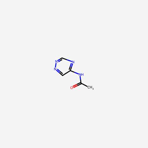 CC(=O)Nc1cnncn1